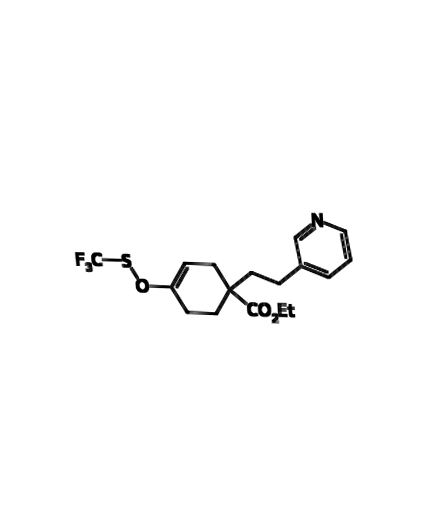 CCOC(=O)C1(CCc2cccnc2)CC=C(OSC(F)(F)F)CC1